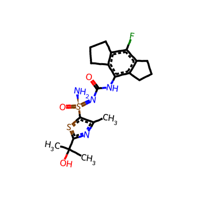 Cc1nc(C(C)(C)O)sc1[S@](N)(=O)=NC(=O)Nc1c2c(c(F)c3c1CCC3)CCC2